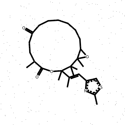 CC(=Cc1csc(C)n1)C1(C)OC(=O)C(C)CCC(=O)CCCCCCC2OC2(C)C1(C)C